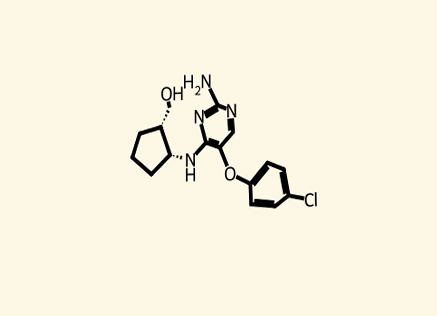 Nc1ncc(Oc2ccc(Cl)cc2)c(N[C@@H]2CCC[C@@H]2CO)n1